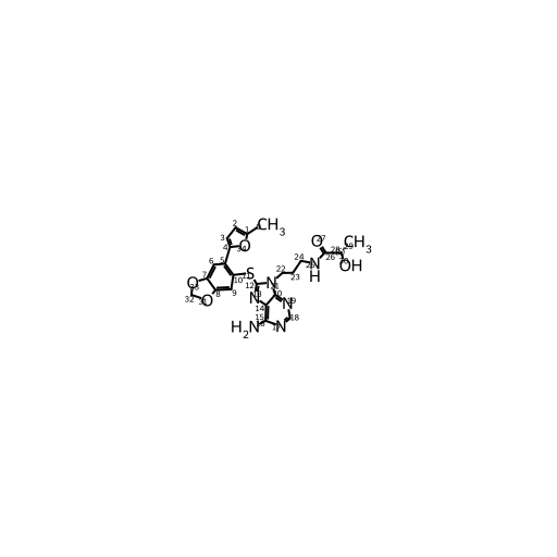 Cc1ccc(-c2cc3c(cc2Sc2nc4c(N)ncnc4n2CCCNC(=O)[C@H](C)O)OCO3)o1